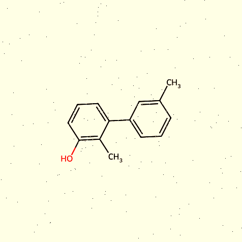 Cc1cccc(-c2cccc(O)c2C)c1